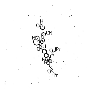 CC(C)CC(=O)SCCOP(=O)(OCCSC(=O)CC(C)C)C(F)(F)c1ccc2ccc(C(=O)NC3CCCC[C@H]4CC[C@@H](C(=O)N5C[C@H](c6cc[nH]c(=O)c6)[C@@H](C#N)C5)N4C3=O)cc2c1